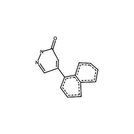 O=C1C=C(c2cccc3ccccc23)C=N[N]1